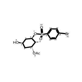 CC(=O)O[C@@H]1C[C@@H](O)C[C@@H](OS(=O)(=O)c2ccc(Br)cc2)C1